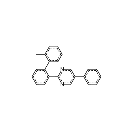 Cc1ccccc1-c1ccccc1-c1ncc(-c2ccccc2)cn1